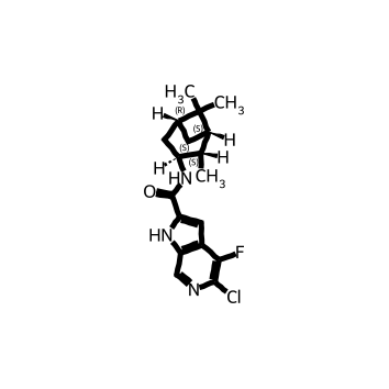 C[C@@H]1[C@@H](NC(=O)c2cc3c(F)c(Cl)ncc3[nH]2)C[C@H]2C[C@@H]1C2(C)C